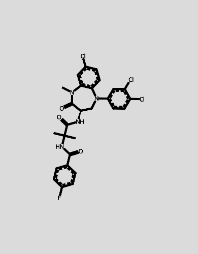 CN1C(=O)[C@H](NC(=O)C(C)(C)NC(=O)c2ccc(F)cc2)CN(c2ccc(Cl)c(Cl)c2)c2ccc(Cl)cc21